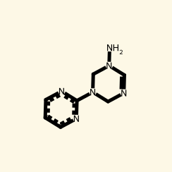 NN1C=NCN(c2ncccn2)C1